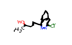 CC(O)CCc1nnc(Cl)c2c1CCC2